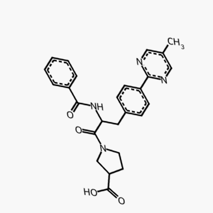 Cc1cnc(-c2ccc(CC(NC(=O)c3ccccc3)C(=O)N3CCC(C(=O)O)C3)cc2)nc1